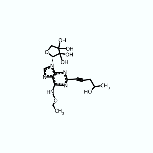 CCONc1nc(C#CCC(C)O)nc2c1ncn2[C@@H]1OCC(O)(O)C1(O)O